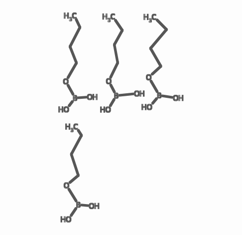 CCCCOB(O)O.CCCCOB(O)O.CCCCOB(O)O.CCCCOB(O)O